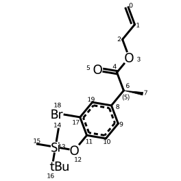 C=CCOC(=O)[C@@H](C)c1ccc(O[Si](C)(C)C(C)(C)C)c(Br)c1